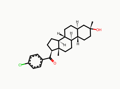 C[C@@]1(O)CC[C@H]2[C@@H](CC[C@@H]3[C@@H]2CC[C@]2(C)[C@@H](C(=O)c4ccc(Cl)cc4)CC[C@@H]32)C1